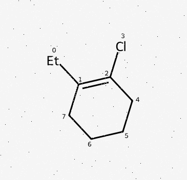 CCC1=C(Cl)CCCC1